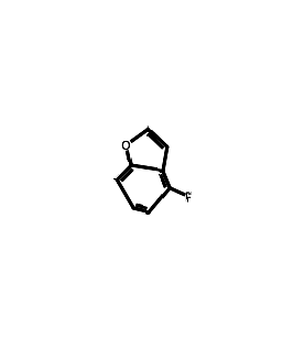 Fc1cccc2o[c]cc12